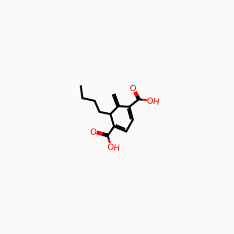 C=C1C(C(=O)O)=CC=C(C(=O)O)C1CCCC